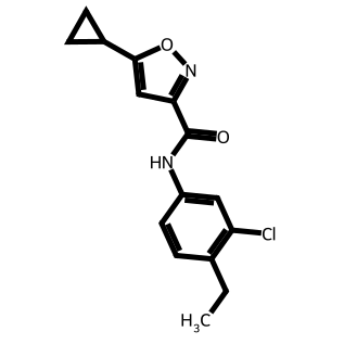 CCc1ccc(NC(=O)c2cc(C3CC3)on2)cc1Cl